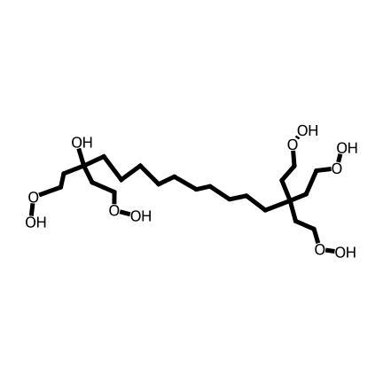 OOCCC(O)(CCCCCCCCCCC(CCOO)(CCOO)CCOO)CCOO